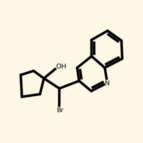 OC1(C(Br)c2cnc3ccccc3c2)CCCC1